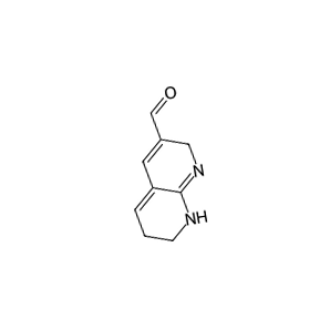 O=CC1=CC2=CCCNC2=NC1